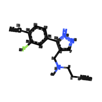 CNCCN(C)Cc1cn[nH]c1-c1ccc(OC)c(F)c1